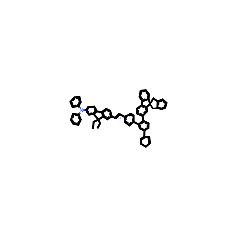 CCC1(CC)c2cc(/C=C/c3ccc(-c4cc(C5=CCCC=C5)ccc4-c4ccc5c(c4)C4(Cc6ccccc6C4)c4ccccc4-5)cc3)ccc2-c2ccc(N(c3ccccc3)c3ccccc3)cc21